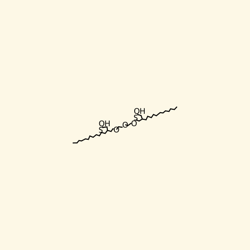 CCCCCCCCCCCCC(CCOCCOCCOCCC(CCCCCCCCCCCC)CC(O)=S)CC(O)=S